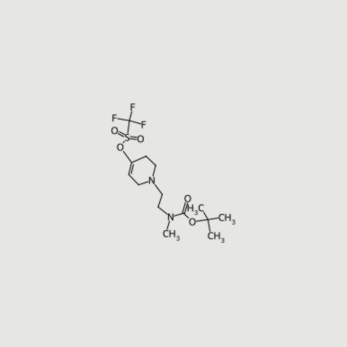 CN(CCN1CC=C(OS(=O)(=O)C(F)(F)F)CC1)C(=O)OC(C)(C)C